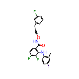 Cc1cc(I)ccc1Nc1c(C(=O)NOC#CCc2cccc(F)c2)ccc(F)c1F